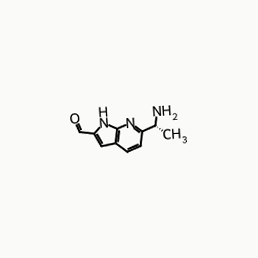 C[C@@H](N)c1ccc2cc(C=O)[nH]c2n1